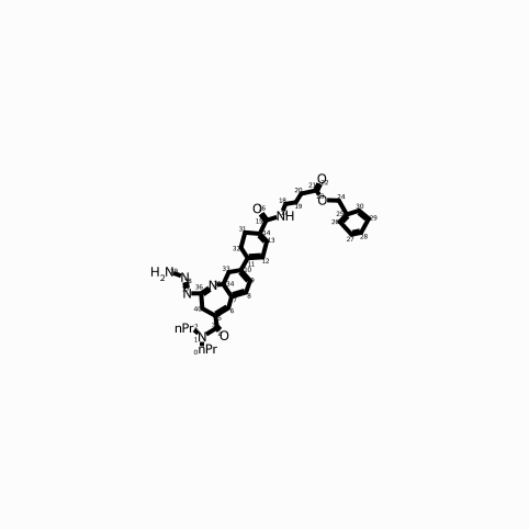 CCCN(CCC)C(=O)C1=CC2=CC=C(C3=CC=C(C(=O)NCCCC(=O)OCc4ccccc4)CC3)CC2N=C(N=NN)C1